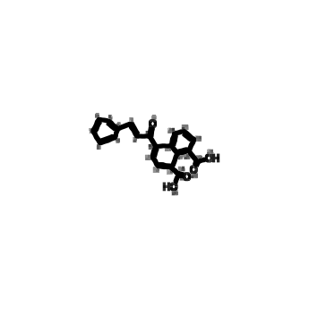 O=C(C=Cc1ccccc1)c1ccc(C(=O)O)c2c(C(=O)O)cccc12